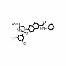 COC(=O)CN(c1ccc2cc(C(=O)Nc3ccccc3)ccc2c1)S(=O)(=O)c1cc(Cl)cc(Cl)c1